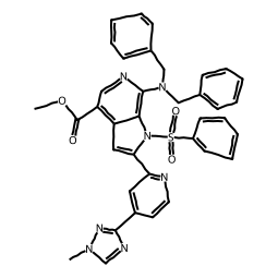 COC(=O)c1cnc(N(Cc2ccccc2)Cc2ccccc2)c2c1cc(-c1cc(-c3ncn(C)n3)ccn1)n2S(=O)(=O)c1ccccc1